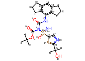 CC(C)(C)OC(=O)N(C(=O)Nc1c2c(cc3c1CCC3)CCC2)S(=N)(=O)c1cnc(C(C)(C)O)s1